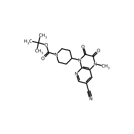 Cn1c(=O)c(=O)n(C2CCN(C(=O)OC(C)(C)C)CC2)c2ncc(C#N)cc21